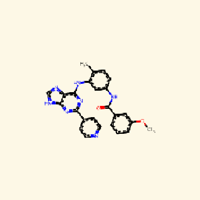 Cc1ccc(NC(=O)c2cccc(OC(F)(F)F)c2)cc1Nc1nc(-c2ccncc2)nc2[nH]cnc12